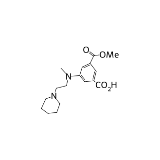 COC(=O)c1cc(C(=O)O)cc(N(C)CCN2CCCCC2)c1